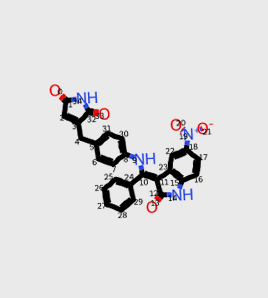 O=C1C=C(Cc2ccc(NC(=C3C(=O)Nc4ccc([N+](=O)[O-])cc43)c3ccccc3)cc2)C(=O)N1